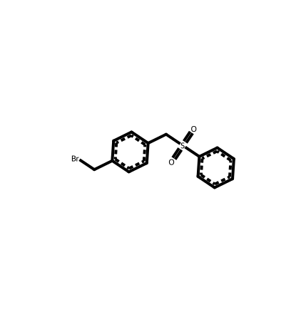 O=S(=O)(Cc1ccc(CBr)cc1)c1ccccc1